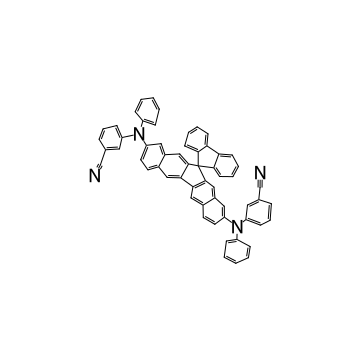 N#Cc1cccc(N(c2ccccc2)c2ccc3cc4c(cc3c2)C2(c3ccccc3-c3ccccc32)c2cc3cc(N(c5ccccc5)c5cccc(C#N)c5)ccc3cc2-4)c1